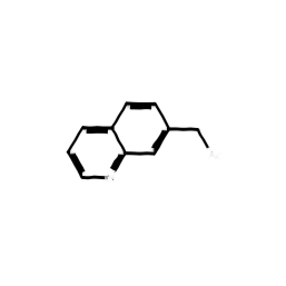 CC(=O)Cc1ccc2c[c]cnc2c1